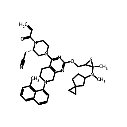 C=CC(=O)N1CCN(c2nc(OCC3S[C@]3(C)N(C)C3CCC4(CC4)C3)nc3c2CCN(c2cccc4cccc(C)c24)C3)C[C@@H]1CC#N